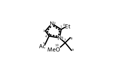 CCc1ncc(C(C)=O)n1C(C)(C)OC